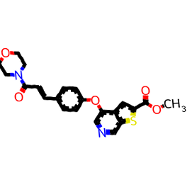 COC(=O)c1cc2c(Oc3ccc(C=CC(=O)N4CCOCC4)cc3)cncc2s1